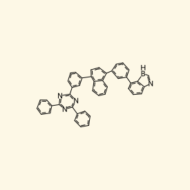 B1C=Nc2cccc(-c3cccc(-c4ccc(-c5cccc(-c6nc(-c7ccccc7)nc(-c7ccccc7)n6)c5)c5ccccc45)c3)c21